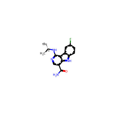 C[C@@H](Nc1ncc(C(N)=O)c2[nH]c3ccc(F)cc3c12)C(C)(C)C